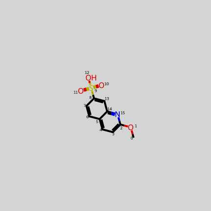 COc1ccc2ccc(S(=O)(=O)O)cc2n1